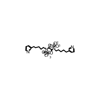 O=C(C(=O)N(CCCCCc1cccnc1)S(=O)(=O)C(F)(F)F)N(CCCCCc1cccnc1)S(=O)(=O)C(F)(F)F